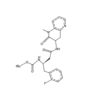 CN1C(=O)C(NC(=O)C[C@@H](Cc2ccccc2F)NC(=O)OC(C)(C)C)Cc2ncccc21